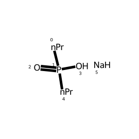 CCCP(=O)(O)CCC.[NaH]